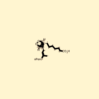 CCCCCC(C)=CC[C@@H]1[C@@H](CCCCCCC(=O)O)[C@H]2C[C@H]1OO2